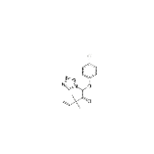 C=CC(C)(C)C(=O)C(Oc1ccc(Cl)cc1)n1cnnc1